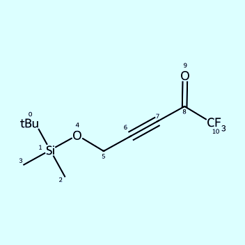 CC(C)(C)[Si](C)(C)OCC#CC(=O)C(F)(F)F